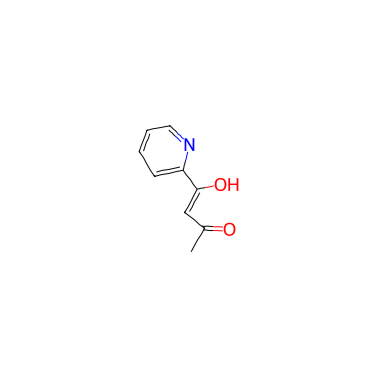 CC(=O)/C=C(\O)c1ccccn1